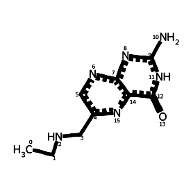 CCNCc1cnc2nc(N)[nH]c(=O)c2n1